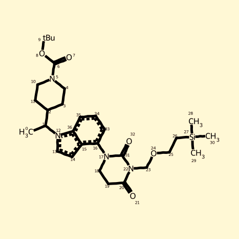 CC(C1CCN(C(=O)OC(C)(C)C)CC1)n1ccc2c(N3CCC(=O)N(COCC[Si](C)(C)C)C3=O)cccc21